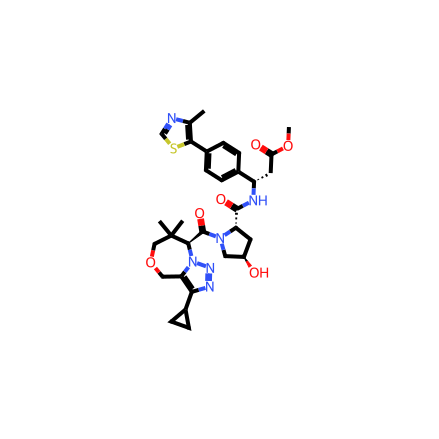 COC(=O)C[C@H](NC(=O)[C@@H]1C[C@@H](O)CN1C(=O)[C@H]1n2nnc(C3CC3)c2COCC1(C)C)c1ccc(-c2scnc2C)cc1